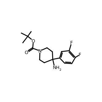 CC(C)(C)OC(=O)N1CCC(N)(c2ccc(F)c(F)c2)CC1